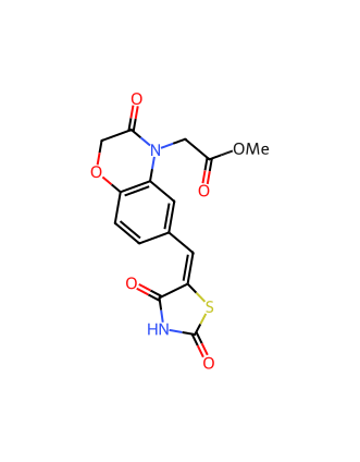 COC(=O)CN1C(=O)COc2ccc(C=C3SC(=O)NC3=O)cc21